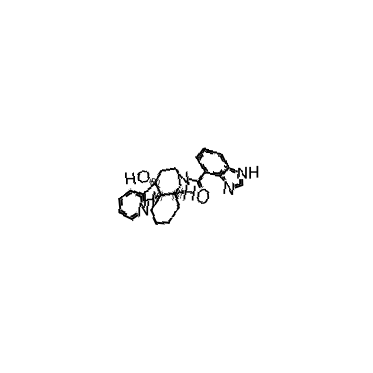 O=C(c1cccc2[nH]cnc12)N1CC[C@](O)(c2ccccn2)[C@H]2CCCC[C@H]21